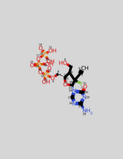 C#CC1(F)C(CO)[C@@H](COP(=O)(O)OP(=O)(O)OP(=O)(O)O)O[C@H]1n1cnc(N)nc1=O